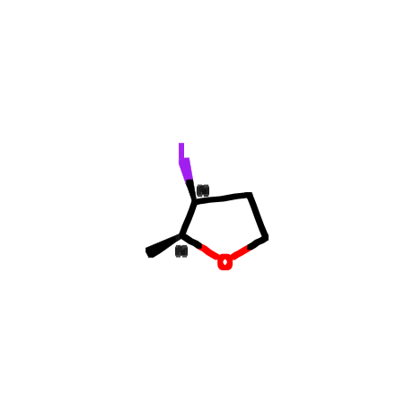 C[C@@H]1OCC[C@@H]1I